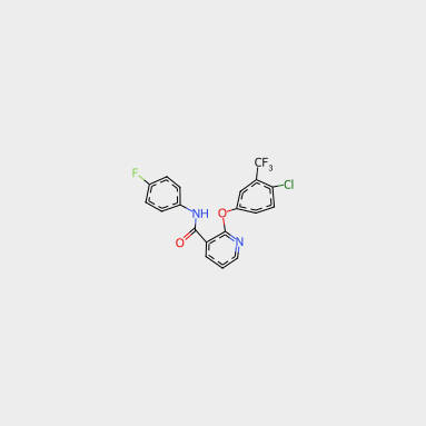 O=C(Nc1ccc(F)cc1)c1cccnc1Oc1ccc(Cl)c(C(F)(F)F)c1